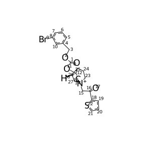 O=C(OCc1cccc(Br)c1)O[C@H]1C[N+]2(CC(=O)c3cccs3)CCC1CC2